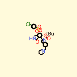 CC(C)(C)OC(=O)n1c(-c2ccc(OS(=O)(=O)c3ccc(Cl)cc3)c3c2C(=O)NC3)cc2cc(CN3CCCCC3)ccc21